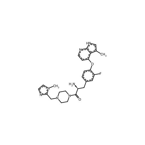 Cc1c[nH]c2nccc(Oc3ccc(C[C@H](N)C(=O)N4CCN(Cc5nccn5C)CC4)cc3F)c12